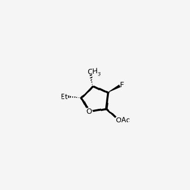 CC[C@H]1OC(OC(C)=O)[C@H](F)[C@H]1C